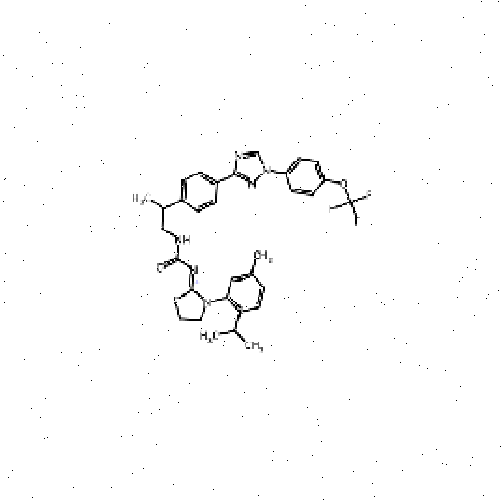 Cc1ccc(C(C)C)c(N2CCS/C2=N\C(=O)NCC(C)c2ccc(-c3ncn(-c4ccc(OC(F)(F)F)cc4)n3)cc2)c1